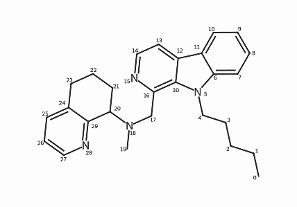 CCCCCn1c2ccccc2c2ccnc(CN(C)C3CCCc4cccnc43)c21